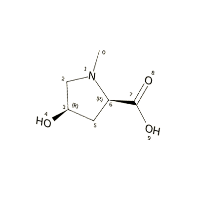 CN1C[C@H](O)C[C@@H]1C(=O)O